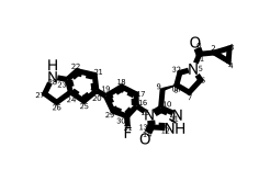 O=C(C1CC1)N1CC[C@@H](Cc2n[nH]c(=O)n2-c2ccc(-c3ccc4c(c3)CCN4)cc2F)C1